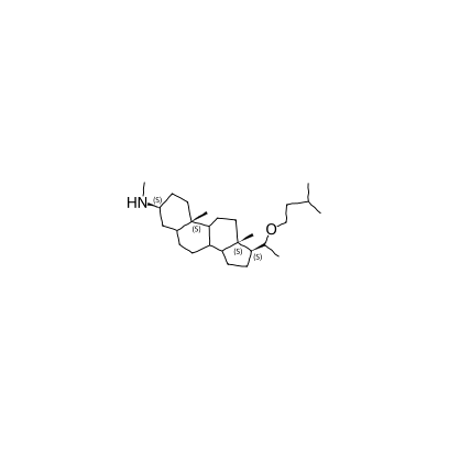 CN[C@H]1CC[C@@]2(C)C(CCC3C2CC[C@@]2(C)C3CC[C@@H]2C(C)OCCC(C)C)C1